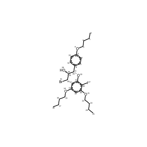 CCCCOc1ccc([C@H](Oc2cc(OCCCC)cc(OCCCC)c2I)[C@H](O)CBr)cc1